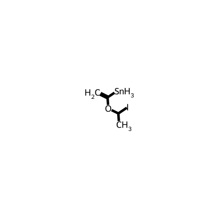 C=[C]([SnH3])OC(C)I